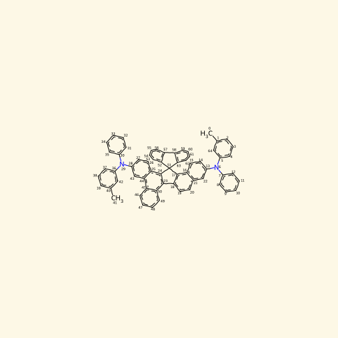 Cc1cccc(N(c2ccccc2)c2ccc3c4c(ccc3c2)-c2c(c3ccc(N(c5ccccc5)c5cccc(C)c5)cc3c3ccccc23)C42c3ccccc3-c3ccccc32)c1